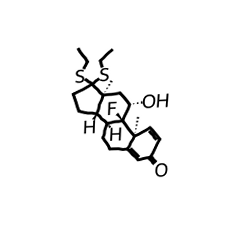 CCSC1(SCC)CC[C@H]2[C@@H]3CCC4=CC(=O)C=C[C@]4(C)[C@@]3(F)[C@@H](O)C[C@@]21C